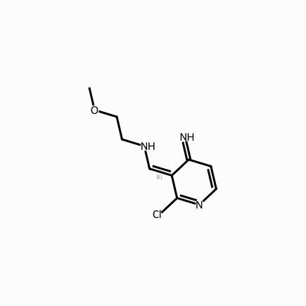 COCCN/C=C1\C(=N)C=CN=C1Cl